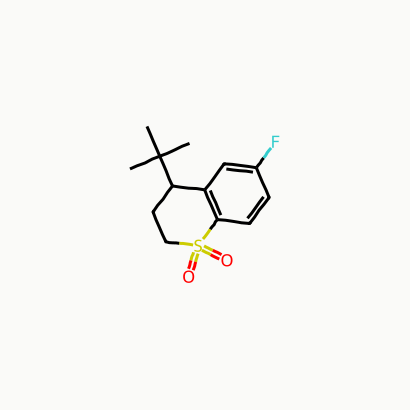 CC(C)(C)C1CCS(=O)(=O)c2ccc(F)cc21